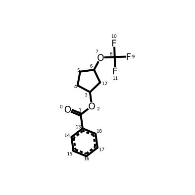 O=C(OC1CCC(OC(F)(F)F)C1)c1ccccc1